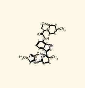 COC[C@H](C(=O)Nc1cccc2c(-c3nc(Nc4cn(C)nc4OC)ncc3C)c[nH]c12)N1CCN(C)CC1